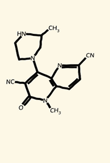 CC1CN(c2c(C#N)c(=O)n(C)c3ccc(C#N)nc23)CCN1